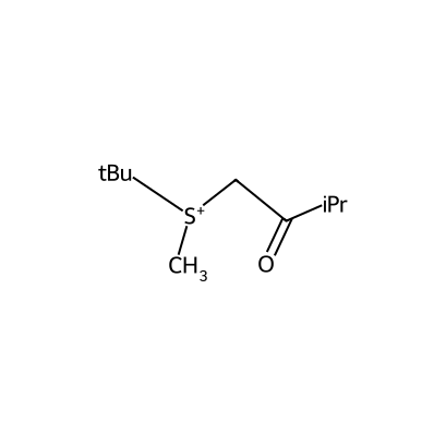 CC(C)C(=O)C[S+](C)C(C)(C)C